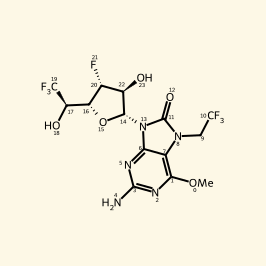 COc1nc(N)nc2c1n(CC(F)(F)F)c(=O)n2[C@@H]1O[C@H]([C@@H](O)C(F)(F)F)[C@H](F)[C@H]1O